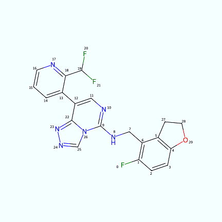 Fc1ccc2c(c1CNc1ncc(-c3cccnc3C(F)F)c3nncn13)CCO2